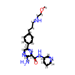 COCCNCCCc1ccc(-c2cnc(N)c(C(=O)Nc3cccnc3)n2)cc1